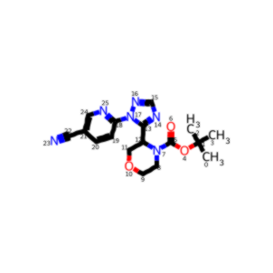 CC(C)(C)OC(=O)N1CCOCC1c1ncnn1-c1ccc(C#N)cn1